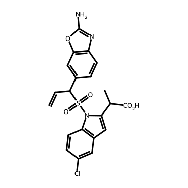 C=CC(c1ccc2nc(N)oc2c1)S(=O)(=O)n1c(C(C)C(=O)O)cc2cc(Cl)ccc21